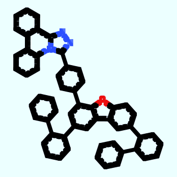 c1ccc(-c2ccccc2-c2ccc3oc4c(-c5ccc(-c6nnc7c8ccccc8c8ccccc8n67)cc5)cc(-c5ccccc5-c5ccccc5)cc4c3c2)cc1